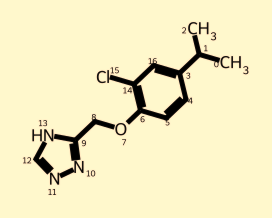 CC(C)c1ccc(OCc2nnc[nH]2)c(Cl)c1